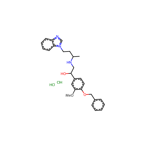 COc1cc(C(O)CNC(C)CCn2cnc3ccccc32)ccc1OCc1ccccc1.Cl.Cl